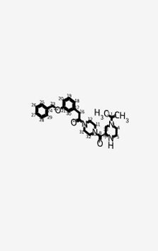 CC(C)N1CCN[C@@H](C(=O)N2CCN(C(=O)Cc3cccc(OCc4ccccc4)c3)CC2)C1